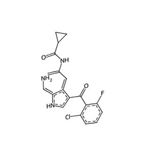 C=C(/C=c1/c(C(=O)c2c(F)cccc2Cl)c[nH]/c1=C/N)NC(=O)C1CC1